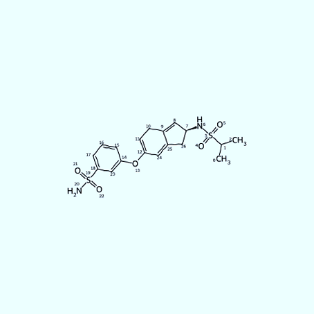 CC(C)S(=O)(=O)N[C@@H]1C=C2CC=C(Oc3cccc(S(N)(=O)=O)c3)C=C2C1